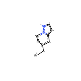 CC(C)Cc1ccn2nccc2c1